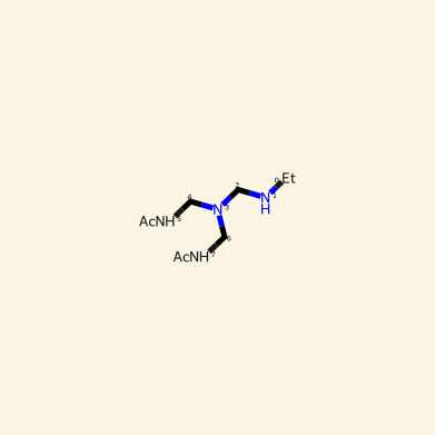 CCNCN(CNC(C)=O)CNC(C)=O